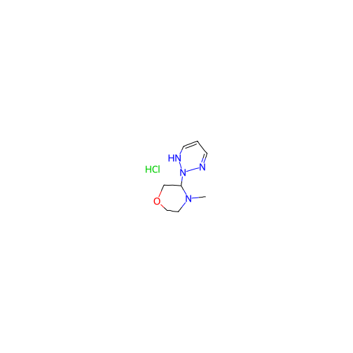 CN1CCOCC1N1N=CC=CN1.Cl